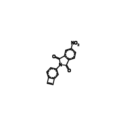 O=C1c2ccc([N+](=O)[O-])cc2C(=O)N1c1ccc2c(c1)C=C2